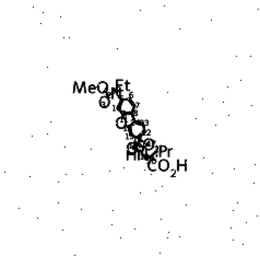 CCN(C(=O)OC)c1ccc2c(c1)oc1cc(S(=O)(=O)NC(C(=O)O)C(C)C)ccc12